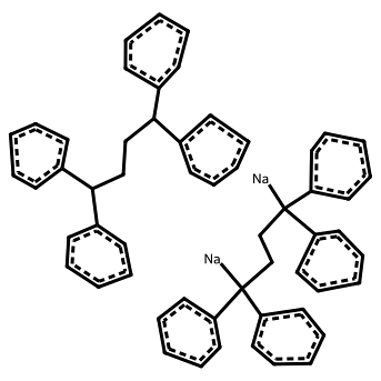 [Na][C](CC[C]([Na])(c1ccccc1)c1ccccc1)(c1ccccc1)c1ccccc1.c1ccc(C(CCC(c2ccccc2)c2ccccc2)c2ccccc2)cc1